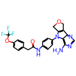 Nc1ncnc2c3c(n(-c4ccc(NC(=O)Cc5ccc(OC(F)(F)F)cc5)cc4)c12)COC3